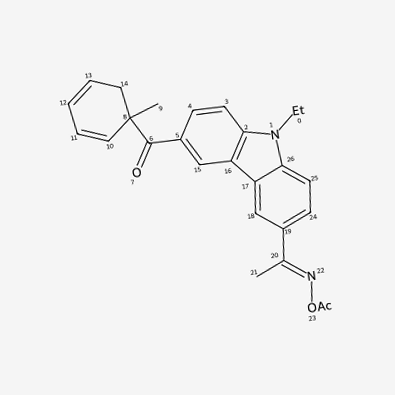 CCn1c2ccc(C(=O)C3(C)C=CC=CC3)cc2c2cc(C(C)=NOC(C)=O)ccc21